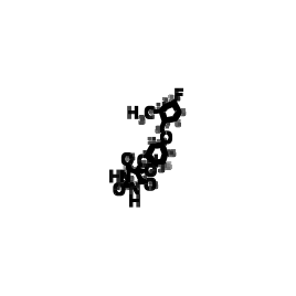 Cc1cc(F)ccc1COc1ccc(OC2(C)C(=O)NC(=O)NC2=O)cc1